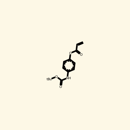 C=CC(=O)Oc1ccc(NC(=O)OC(C)(C)C)cc1